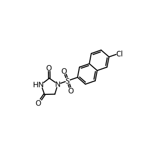 O=C1CN(S(=O)(=O)c2ccc3cc(Cl)ccc3c2)C(=O)N1